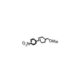 COCC1CCN(c2ccc([N+](=O)[O-])cc2)CC1